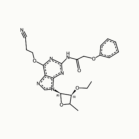 CCO[C@H]1C(C)O[C@H]1n1cnc2c(OCCC#N)nc(NC(=O)COc3ccccc3)nc21